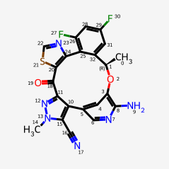 C[C@H]1Oc2cc(cnc2N)-c2c(nn(C)c2C#N)C(=O)c2scnc2-c2c(F)cc(F)cc21